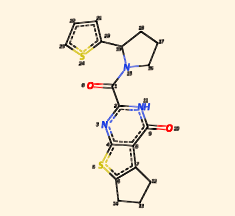 O=C(c1nc2sc3c(c2c(=O)[nH]1)CCC3)N1CCCC1c1cccs1